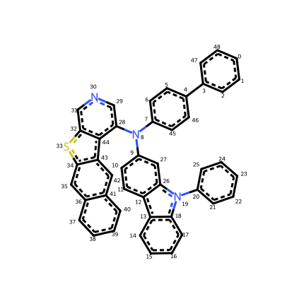 c1ccc(-c2ccc(N(c3ccc4c5ccccc5n(-c5ccccc5)c4c3)c3cncc4sc5cc6ccccc6cc5c34)cc2)cc1